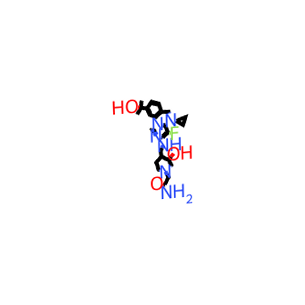 CC(C)(O)c1ccc(CN(c2ncnc(NCC3CCN(CC(N)=O)CC3O)c2F)C2CC2)cc1